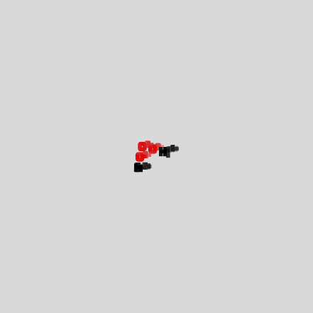 [Hf+4].[O-2].[O-2].[O-2].[Sr+2]